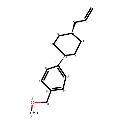 C=CC[C@H]1CC[C@H](c2ccc(COCCCC)cc2)CC1